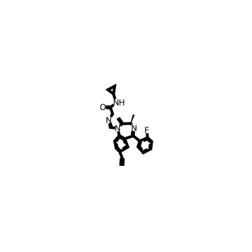 C#Cc1ccc2c(c1)C(c1ccccc1F)=N[C@H](C)C(=C)N2/C=N\CC(=O)NC1CC1